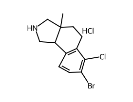 CC12CCc3c(ccc(Br)c3Cl)C1CNC2.Cl